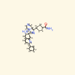 NC(=O)C1CCC(C2=C3C=NC=C[N+]3(N)C(c3ccc4ccc(-c5ccccc5)nc4c3)=N2)CC1